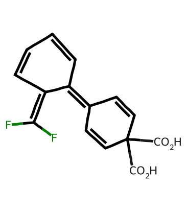 O=C(O)C1(C(=O)O)C=CC(=c2ccccc2=C(F)F)C=C1